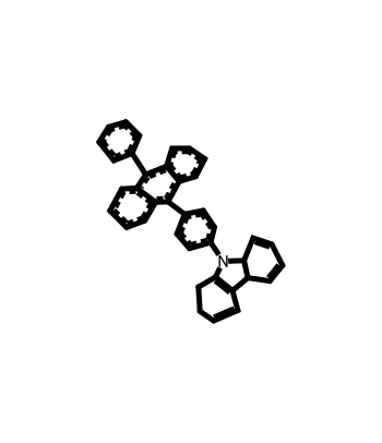 C1=CC2C3=C(CCC=C3)N(c3ccc(-c4c5ccccc5c(-c5ccccc5)c5ccccc45)cc3)C2C=C1